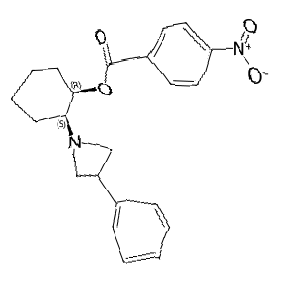 O=C(O[C@@H]1CCCC[C@@H]1N1CC(c2ccccc2)C1)c1ccc([N+](=O)[O-])cc1